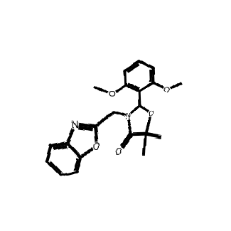 COc1cccc(OC)c1C1OC(C)(C)C(=O)N1Cc1nc2ccccc2o1